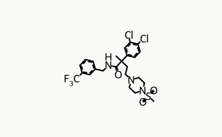 CC(CCN1CCN(S(C)(=O)=O)CC1)(C(=O)NCc1cccc(C(F)(F)F)c1)c1ccc(Cl)c(Cl)c1